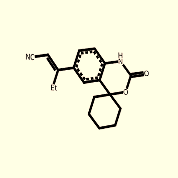 CC/C(=C\C#N)c1ccc2c(c1)C1(CCCCC1)OC(=O)N2